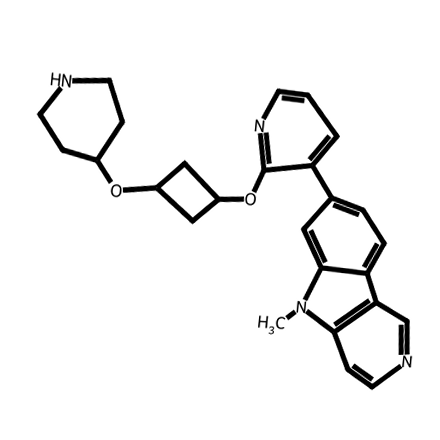 Cn1c2ccncc2c2ccc(-c3cccnc3OC3CC(OC4CCNCC4)C3)cc21